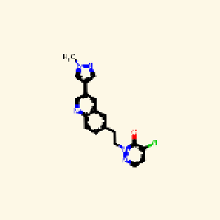 Cn1cc(-c2cnc3ccc(CCn4nccc(Cl)c4=O)cc3c2)cn1